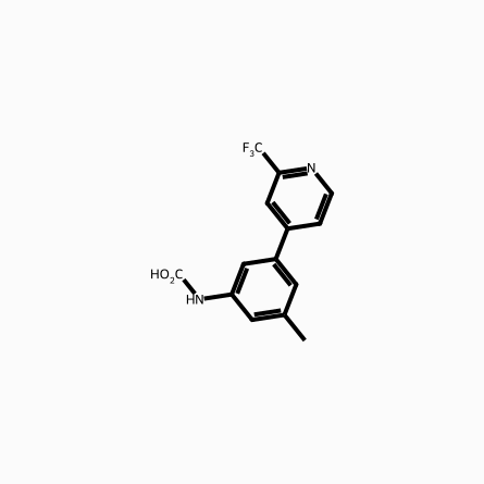 Cc1cc(NC(=O)O)cc(-c2ccnc(C(F)(F)F)c2)c1